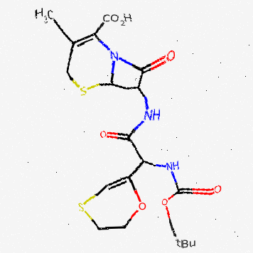 CC1=C(C(=O)O)N2C(=O)C(NC(=O)C(NC(=O)OC(C)(C)C)C3=CSCCO3)C2SC1